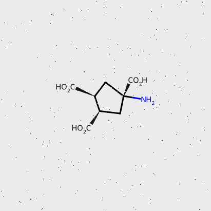 N[C@@]1(C(=O)O)C[C@H](C(=O)O)[C@H](C(=O)O)C1